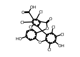 O=C(O)c1c(Cl)c(Cl)c2c(c1Cl)C(=O)OC21c2ccc(O)cc2Oc2c(Cl)c(O)c(Cl)c(Cl)c21